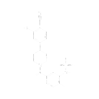 Cc1ccc(C(=O)N2CCC(c3ccc(C#N)c(Cl)c3)CC2)cc1NS(C)(=O)=O